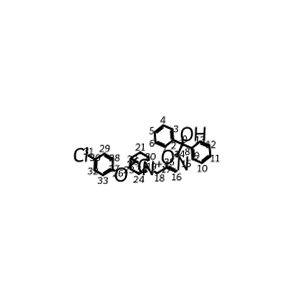 OC(c1ccccc1)(c1ccccc1)c1ncc(C[N+]23CCC(CC2)C(Oc2ccc(Cl)cc2)C3)o1